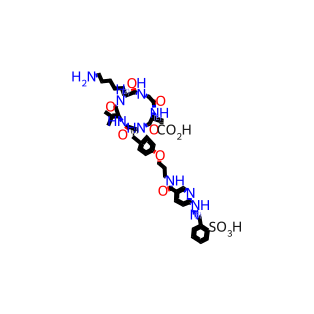 CC(C)=C1NC(=O)[C@@H](Cc2ccc(OCCCNC(=O)c3ccc(N/N=C/c4ccccc4S(=O)(=O)O)nc3)cc2)NC(=O)/C(=C\C(=O)O)NC(=O)CNC(=O)/C(=C/CCCCN)NC1=O